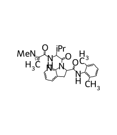 CN[C@@H](C)C(=O)NC(C(=O)N1c2ncccc2CC1C(=O)Nc1c(C)cccc1C)C(C)C